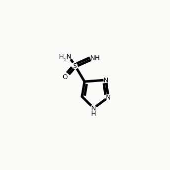 N=S(N)(=O)c1c[nH]nn1